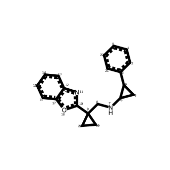 c1ccc(C2CC2NCC2(c3nc4ccccc4o3)CC2)cc1